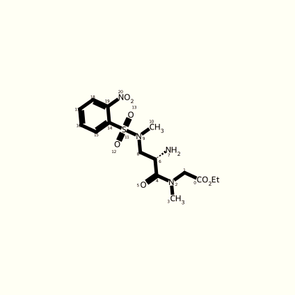 CCOC(=O)CN(C)C(=O)[C@@H](N)CN(C)S(=O)(=O)c1ccccc1[N+](=O)[O-]